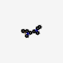 c1ccc(-n2c3ccc(-c4ccc5c(c4)c4ccccc4n5-c4ccc5ccccc5c4)cc3c3ccc4c5ccccc5sc4c32)cc1